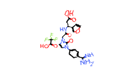 N=C(N)c1ccc(-n2ccn(CC(=O)NC(CC(=O)O)c3ccoc3)c2=O)cc1.O=C(O)C(F)(F)F